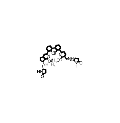 COc1nc(-c2cccc(-c3cccc(-c4cc5c(c(OC)n4)[C@H](NC[C@@H]4CCC(=O)N4)CC5)c3Cl)c2Cl)ccc1CNC[C@@H]1CCC(=O)N1